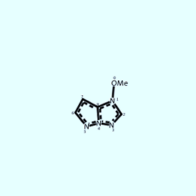 COn1cnn2nccc12